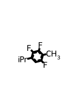 Cc1c(F)cc(C(C)C)c(F)c1F